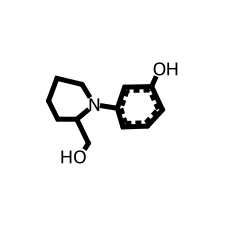 OCC1CCCCN1c1cccc(O)c1